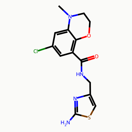 CN1CCOc2c(C(=O)NCc3csc(N)n3)cc(Cl)cc21